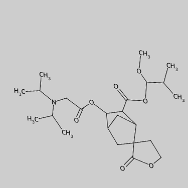 COC(OC(=O)C1C(OC(=O)CN(C(C)C)C(C)C)C2CC1C1(CCOC1=O)C2)C(C)C